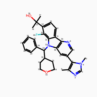 Cc1ncn(C)c1-c1cnc2c3ccc(C(C)(C)O)c(F)c3n(C(c3ccccc3)C3CCOCC3)c2c1